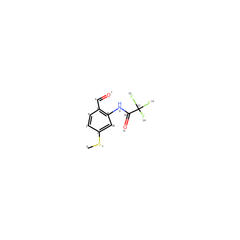 CSc1ccc(C=O)c(NC(=O)C(F)(F)F)c1